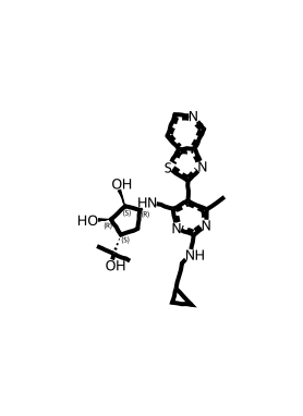 Cc1nc(NCC2CC2)nc(N[C@@H]2C[C@H](C(C)(C)O)[C@@H](O)[C@H]2O)c1-c1nc2cnccc2s1